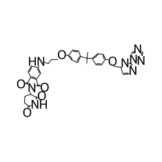 CC(C)(c1ccc(OCCCNc2ccc3c(c2)C(=O)N(C2CCC(=O)NC2=O)C3=O)cc1)c1ccc(OCc2ccnc(-n3cncn3)n2)cc1